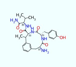 CC1c2cccc(c2)C[C@H](N)C(=O)N[C@@H](Cc2ccc(O)cc2)C(=O)N[C@@H]1C(=O)N[C@@H](C(N)=O)C(C)C